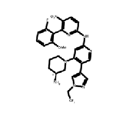 COc1cccc(F)c1-c1nc(Nc2cc(N3CCC[C@H](N)C3)c(-c3cnn(CC(F)(F)F)c3)cn2)ccc1[N+](=O)[O-]